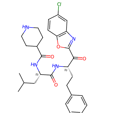 CC(C)C[C@H](NC(=O)C1CCNCC1)C(=O)N[C@@H](CCc1ccccc1)C(=O)c1nc2cc(Cl)ccc2o1